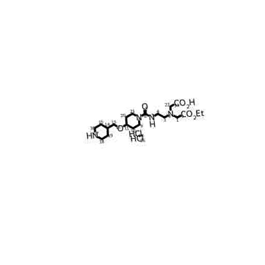 CCOC(=O)CN(CCNC(=O)N1CCC(OCC2CCNCC2)CC1)CC(=O)O.Cl.Cl